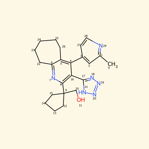 Cc1cc(-c2c3c(nc(C4(CO)CCCC4)c2-c2nnn[nH]2)CCCCC3)ccn1